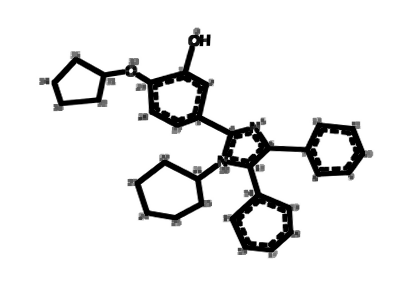 Oc1cc(-c2nc(-c3ccccc3)c(-c3ccccc3)n2C2CCCCC2)ccc1OC1CCCC1